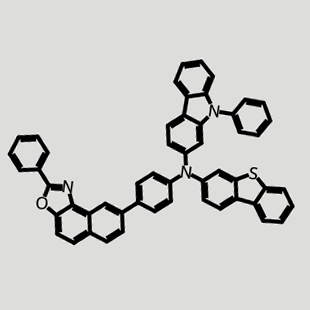 c1ccc(-c2nc3c(ccc4ccc(-c5ccc(N(c6ccc7c(c6)sc6ccccc67)c6ccc7c8ccccc8n(-c8ccccc8)c7c6)cc5)cc43)o2)cc1